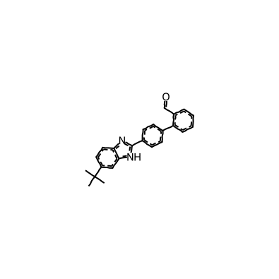 CC(C)(C)c1ccc2nc(-c3ccc(-c4ccccc4C=O)cc3)[nH]c2c1